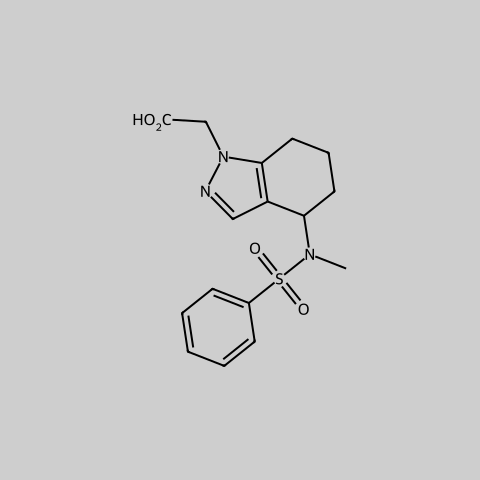 CN(C1CCCc2c1cnn2CC(=O)O)S(=O)(=O)c1ccccc1